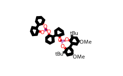 COc1cc(C(C)(C)C)c2op(Oc3ccccc3-c3ccccc3Op3oc4ccccc4c4ccccc4o3)oc3c(C(C)(C)C)cc(OC)cc3c2c1